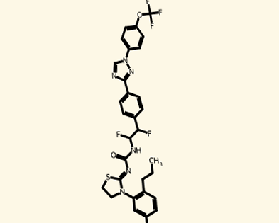 CCCc1ccc(C)cc1N1CCS/C1=N\C(=O)NC(F)C(F)c1ccc(-c2ncn(-c3ccc(OC(F)(F)F)cc3)n2)cc1